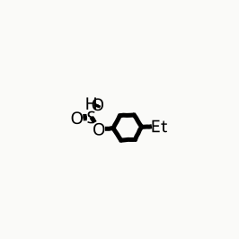 CCC1CCC(O[SH](=O)=O)CC1